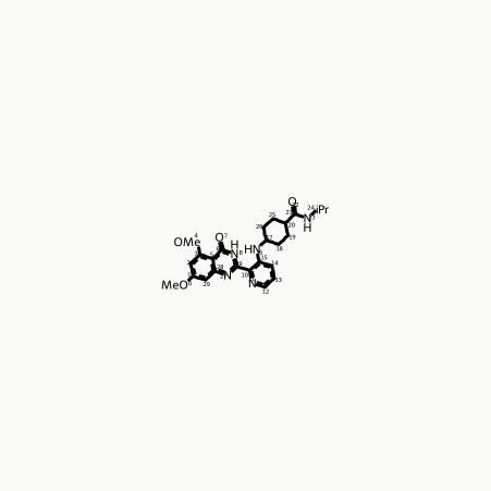 COc1cc(OC)c2c(=O)[nH]c(-c3ncccc3NC3CCC(C(=O)NC(C)C)CC3)nc2c1